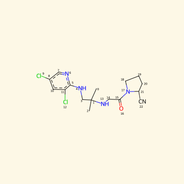 CC(C)(CNc1ncc(Cl)cc1Cl)NCC(=O)N1CCCC1C#N